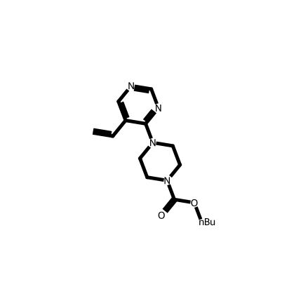 C=Cc1cncnc1N1CCN(C(=O)OCCCC)CC1